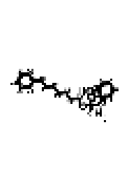 CC(C)(Cc1ccccc1O)OCCCCCCCc1ccccc1